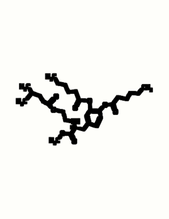 CCCCCC(=O)Oc1ccc(C[C@H](NCCOC(=O)CCC(C)C)C(=O)OC)cc1OC(=O)CCCCC